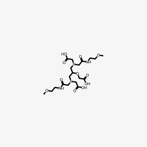 COCCNC(=O)CN(CC(=O)O)CC(CN(CC(=O)O)CC(=O)NCCOC)OCC(=O)O